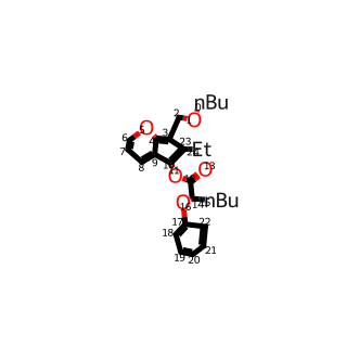 CCCCOCc1c2occcc-2c(OC(=O)C(CCCC)Oc2ccccc2)c1CC